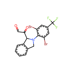 O=CC(=O)C1c2ccccc2CN1c1c(Br)cc(C(F)(F)F)cc1Br